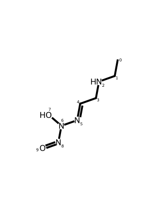 CCNCC=NN(O)N=O